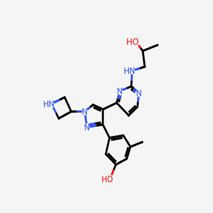 Cc1cc(O)cc(-c2nn(C3CNC3)cc2-c2ccnc(NCC(C)O)n2)c1